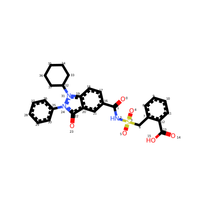 O=C(NS(=O)(=O)Cc1ccccc1C(=O)O)c1ccc2c(c1)c(=O)n(-c1ccccc1)n2C1CCCCC1